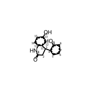 O=C1CC(c2ccccc2O)c2cc(O)ccc2N1